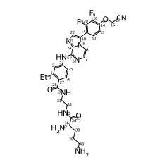 CCc1cc(Nc2nccn3c(-c4ccc(OCC#N)c(F)c4F)cnc23)ccc1C(=O)NCCNC(=O)[C@@H](N)CCCN